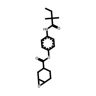 CCC(C)(C)C(=O)Nc1ccc(OC(=O)C2CCC3OC3C2)cc1